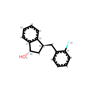 O[C@H]1C[C@H](Cc2ccccc2F)c2ccccc21